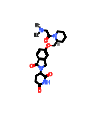 CCN(CC)CC(=O)N1CCCC[C@H]1COc1ccc2c(c1)CN(C1CCC(=O)NC1=O)C2=O